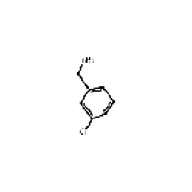 CC[CH]CCc1cccc(Cl)c1